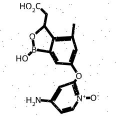 Cc1cc(Oc2cc(N)cc[n+]2[O-])cc2c1C(CC(=O)O)OB2O